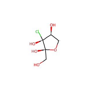 OC[C@@]1(O)O[CH][C@H](O)[C@@]1(O)Cl